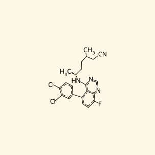 CC(CC#N)CC[C@H](C)Nc1ncnc2c(F)ccc(-c3ccc(Cl)c(Cl)c3)c12